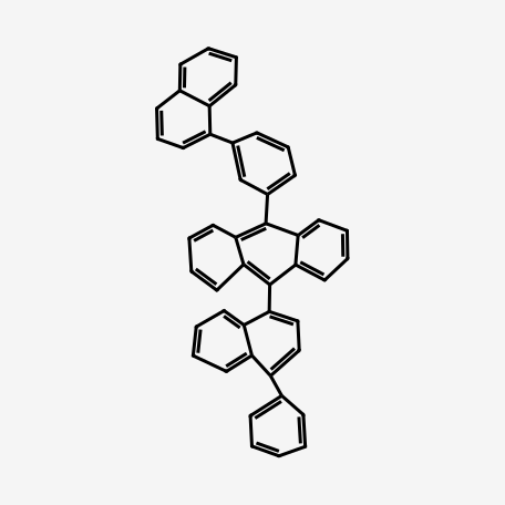 c1ccc(-c2ccc(-c3c4ccccc4c(-c4cccc(-c5cccc6ccccc56)c4)c4ccccc34)c3ccccc23)cc1